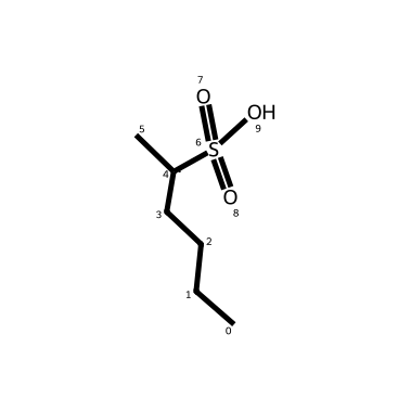 CCCC[C](C)S(=O)(=O)O